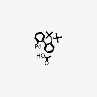 CC(=O)O.CC(C)(C)P(c1ccccc1-c1cccc[c]1[Pd])C(C)(C)C